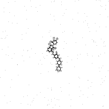 O=C1CCC(N2C(=O)c3cccc(NCc4ccc(CN5CCC(N6CCOCC6)CC5)cc4F)c3C2=O)C(=O)N1